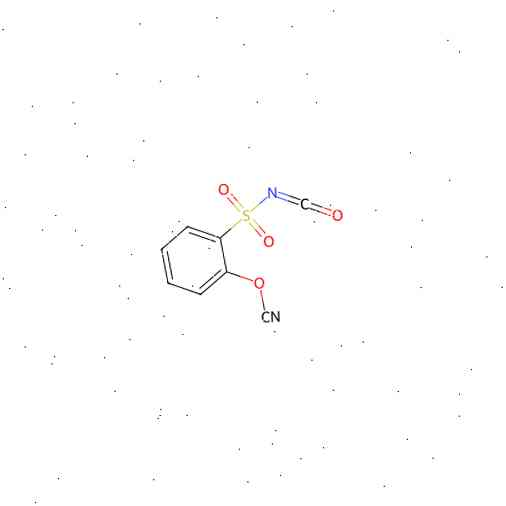 N#COc1ccccc1S(=O)(=O)N=C=O